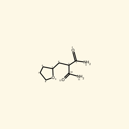 NC(=O)C(CC1CCCO1)C(N)=O